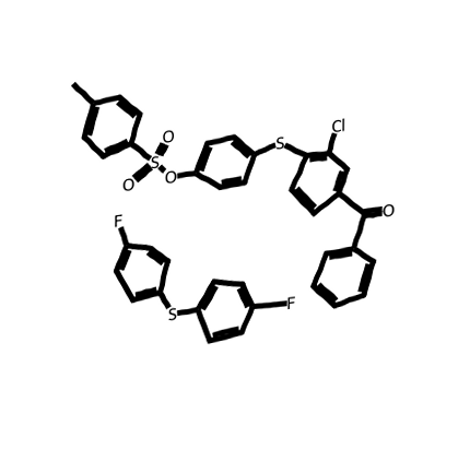 Cc1ccc(S(=O)(=O)Oc2ccc(Sc3ccc(C(=O)c4ccccc4)cc3Cl)cc2)cc1.Fc1ccc(Sc2ccc(F)cc2)cc1